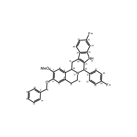 COc1cc2c(cc1OCc1ccccc1)CCN1C2Cc2c([nH]c3cc(F)ccc23)C1c1ccc(F)cc1